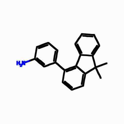 CC1(C)c2ccccc2-c2c(-c3cccc(N)c3)cccc21